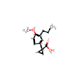 CCCc1cc(C2(C(=O)O)CC2)ccc1OC